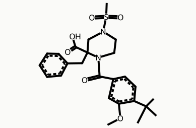 COc1cc(C(=O)N2CCN(S(C)(=O)=O)CC2(Cc2ccccc2)C(=O)O)ccc1C(C)(C)C